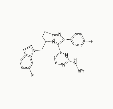 CCCNc1nccc(-c2c(-c3ccc(F)cc3)nc3n2C(Cn2ccc4ccc(F)cc42)CC3)n1